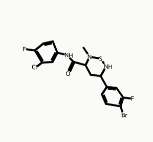 CN1SNC(c2ccc(Br)c(F)c2)CC1C(=O)Nc1ccc(F)c(Cl)c1